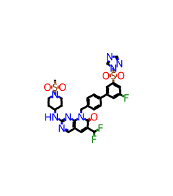 CS(=O)(=O)N1CCC(Nc2ncc3cc(C(F)F)c(=O)n(Cc4ccc(-c5cc(F)cc(S(=O)(=O)n6cncn6)c5)cc4)c3n2)CC1